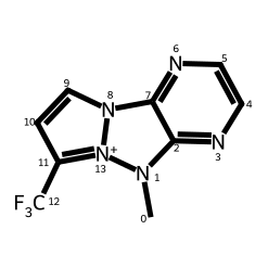 Cn1c2nccnc2n2ccc(C(F)(F)F)[n+]12